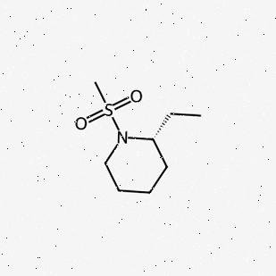 CC[C@@H]1CCCCN1S(C)(=O)=O